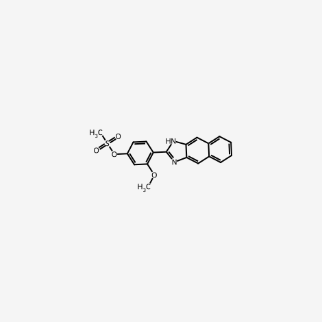 COc1cc(OS(C)(=O)=O)ccc1-c1nc2cc3ccccc3cc2[nH]1